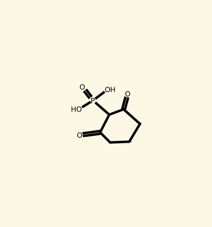 O=C1C[CH]CC(=O)C1P(=O)(O)O